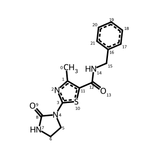 Cc1nc(N2CCNC2=O)sc1C(=O)NCc1ccccc1